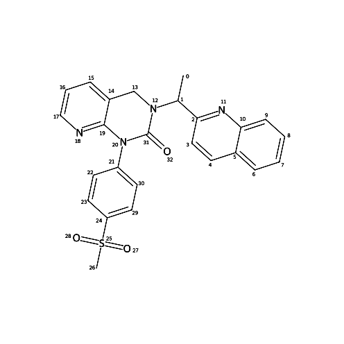 CC(c1ccc2ccccc2n1)N1Cc2cccnc2N(c2ccc(S(C)(=O)=O)cc2)C1=O